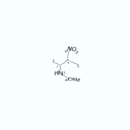 CONC(C)C(C)[N+](=O)[O-]